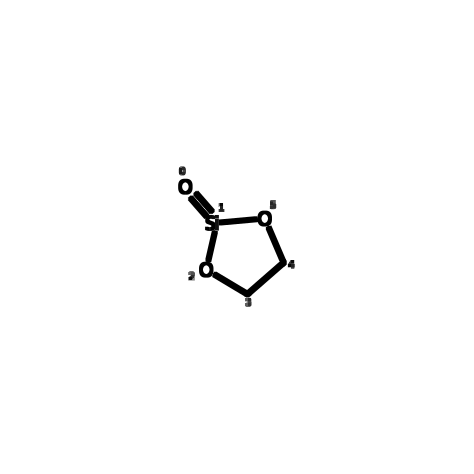 O=[Si]1OCCO1